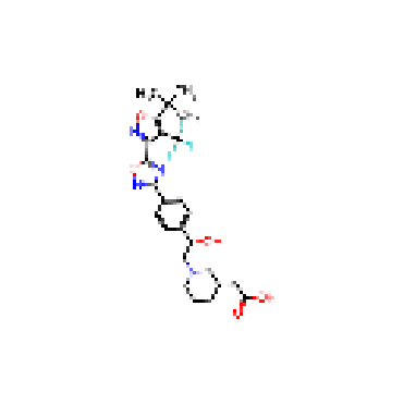 CC(C)(C)c1onc(-c2nc(-c3ccc([C@@H](O)CN4CCC[C@H](CC(=O)O)C4)cc3)no2)c1C(F)(F)F